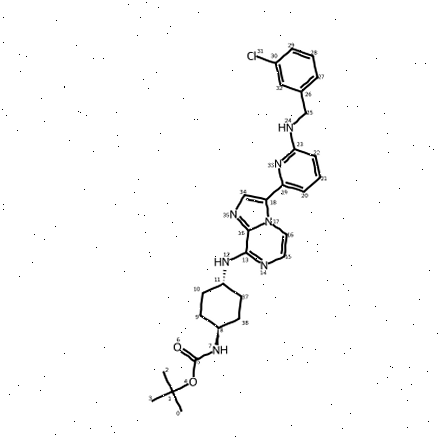 CC(C)(C)OC(=O)N[C@H]1CC[C@H](Nc2nccn3c(-c4cccc(NCc5cccc(Cl)c5)n4)cnc23)CC1